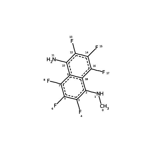 CNc1c(F)c(F)c(F)c2c(N)c(F)c(F)c(F)c12